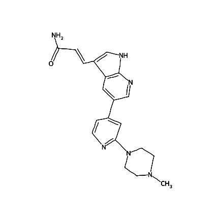 CN1CCN(c2cc(-c3cnc4[nH]cc(C=CC(N)=O)c4c3)ccn2)CC1